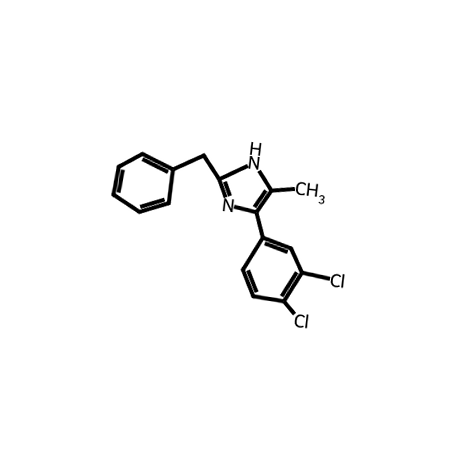 Cc1[nH]c(Cc2ccccc2)nc1-c1ccc(Cl)c(Cl)c1